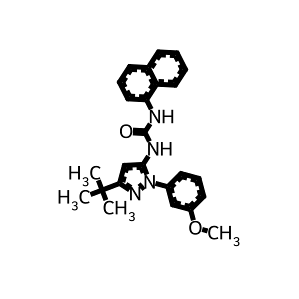 COc1cccc(-n2nc(C(C)(C)C)cc2NC(=O)Nc2cccc3ccccc23)c1